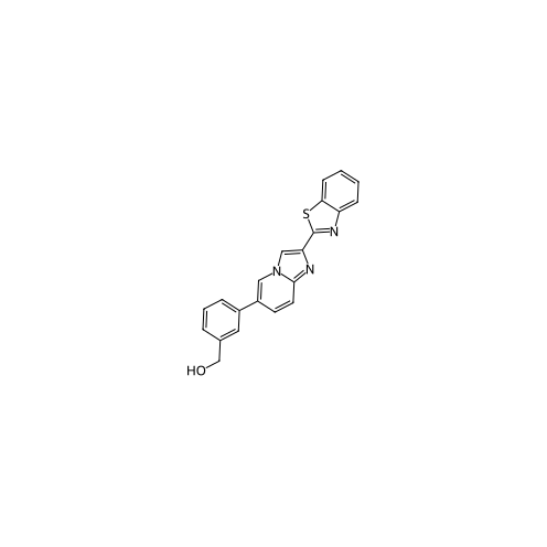 OCc1cccc(-c2ccc3nc(-c4nc5ccccc5s4)cn3c2)c1